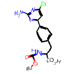 CC(C)(C)OC(=O)NC(Cc1ccc(-c2cc(Cl)nc(N)n2)cc1)C(=O)O